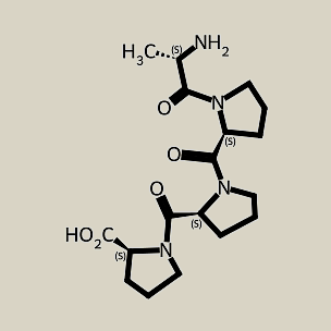 C[C@H](N)C(=O)N1CCC[C@H]1C(=O)N1CCC[C@H]1C(=O)N1CCC[C@H]1C(=O)O